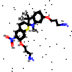 CN1c2cc(OCCCN)ccc2C(C)(C)C12C=Cc1cc([N+](=O)[O-])c(OCCCN)cc1S2